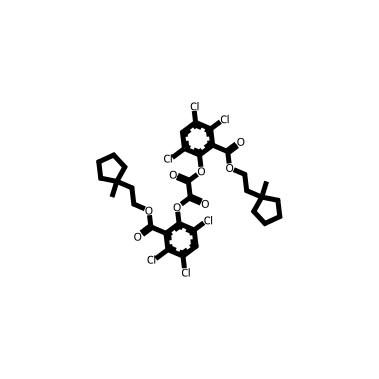 CC1(CCOC(=O)c2c(Cl)c(Cl)cc(Cl)c2OC(=O)C(=O)Oc2c(Cl)cc(Cl)c(Cl)c2C(=O)OCCC2(C)CCCC2)CCCC1